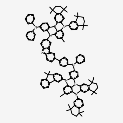 Cc1cc2c3c(c1)N(c1ccc4c(c1)C(C)(C)CCC4(C)C)c1cc4c(cc1B3c1ccc(N(c3ccccc3)c3ccc(-c5ccc6sc7ccc(N8c9cc(N(c%10ccccc%10)c%10ccccc%10)ccc9B9c%10cc%11c(cc%10N(c%10ccc%12c(c%10)C(C)(C)CCC%12(C)C)c%10cc(C)cc8c%109)C(C)(C)CCC%11(C)C)cc7c6c5)cc3)cc1N2c1ccc2c(c1)-c1ccccc1C2(C)C)C(C)(C)CCC4(C)C